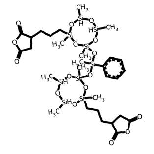 C[SiH]1O[SiH](C)O[Si](C)(O[Si](C)(O[Si]2(C)O[SiH](C)O[SiH](C)O[Si](C)(CCCC3CC(=O)OC3=O)O2)c2ccccc2)O[Si](C)(CCCC2CC(=O)OC2=O)O1